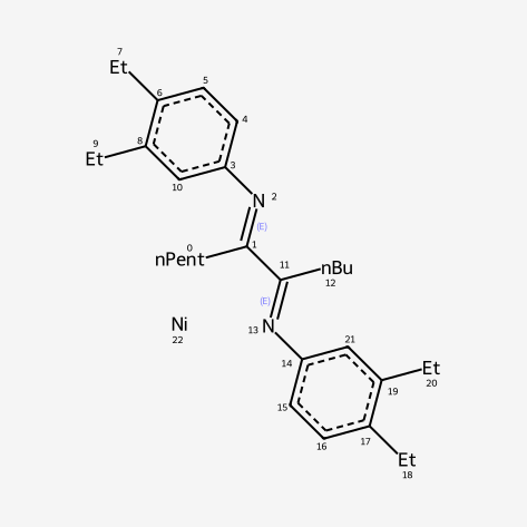 CCCCCC(=N\c1ccc(CC)c(CC)c1)/C(CCCC)=N/c1ccc(CC)c(CC)c1.[Ni]